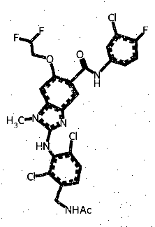 CC(=O)NCc1ccc(Cl)c(Nc2nc3cc(C(=O)Nc4ccc(F)c(Cl)c4)c(OCC(F)F)cc3n2C)c1Cl